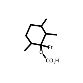 CCC1(OC(=O)O)C(C)CCC(C)C1C